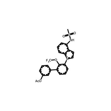 CC(=O)Oc1cccc(-c2cccc(-n3ccc4c(NS(C)(=O)=O)cccc43)c2OC(F)(F)F)c1